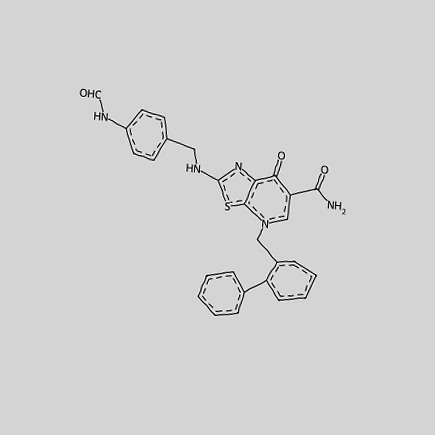 NC(=O)c1cn(Cc2ccccc2-c2ccccc2)c2sc(NCc3ccc(NC=O)cc3)nc2c1=O